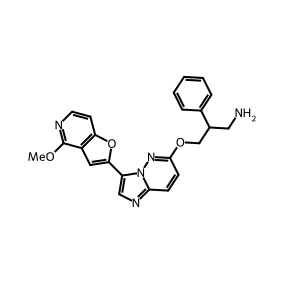 COc1nccc2oc(-c3cnc4ccc(OCC(CN)c5ccccc5)nn34)cc12